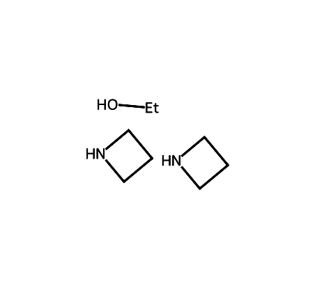 C1CNC1.C1CNC1.CCO